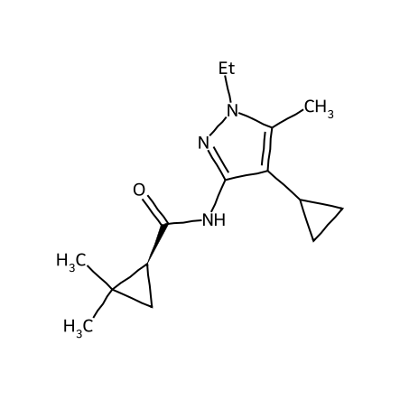 CCn1nc(NC(=O)[C@H]2CC2(C)C)c(C2CC2)c1C